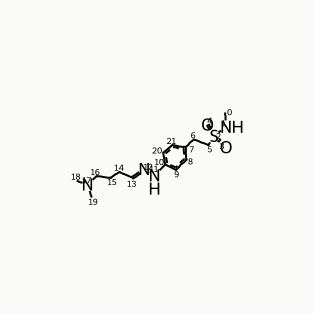 CNS(=O)(=O)CCc1ccc(NN=CCCCN(C)C)cc1